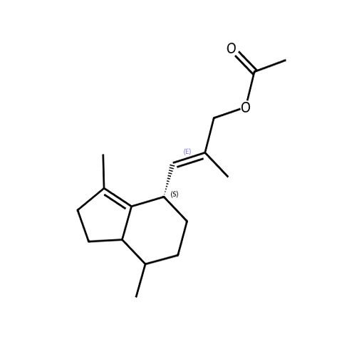 CC(=O)OC/C(C)=C/[C@@H]1CCC(C)C2CCC(C)=C21